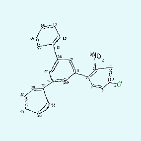 O=[N+]([O-])c1cc(Cl)ccc1-c1cc(-c2ccccc2)cc(-c2ccccc2)c1